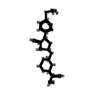 NCc1ccc(N2CC(CN3CCCC(C(=O)O)C3)OC2=O)cc1